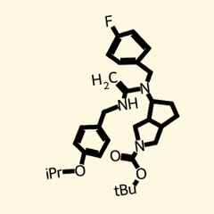 C=C(NCc1ccc(OC(C)C)cc1)N(Cc1ccc(F)cc1)C1CCC2CN(C(=O)OC(C)(C)C)CC21